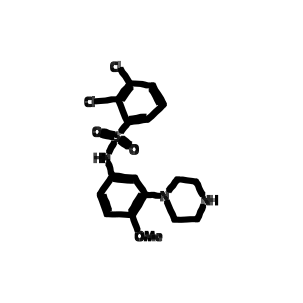 COc1ccc(NS(=O)(=O)c2cccc(Cl)c2Cl)cc1N1CCNCC1